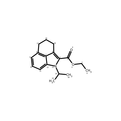 CCOC(=O)c1c2c3c(cccc3n1C(C)C)CCC2